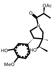 COc1ccc([C@@H]2CN(C(=O)[C@H](C)OC(C)=O)C[C@@]2(C)[C@@H](C)O)cc1O